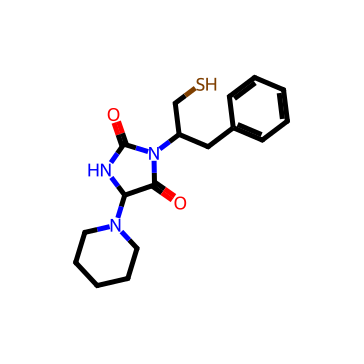 O=C1NC(N2CCCCC2)C(=O)N1C(CS)Cc1ccccc1